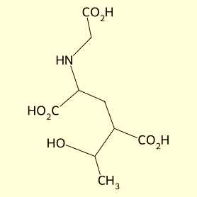 CC(O)C(CC(NCC(=O)O)C(=O)O)C(=O)O